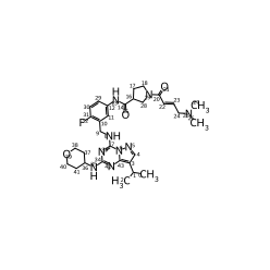 CC(C)c1cnn2c(NCc3cc(NC(=O)C4CCN(C(=O)/C=C/CN(C)C)C4)ccc3F)nc(NC3CCOCC3)nc12